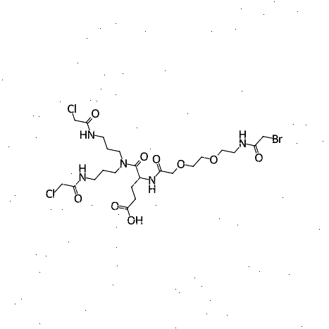 O=C(O)CCC(NC(=O)COCCOCCNC(=O)CBr)C(=O)N(CCCNC(=O)CCl)CCCNC(=O)CCl